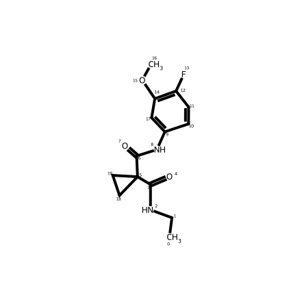 CCNC(=O)C1(C(=O)Nc2ccc(F)c(OC)c2)CC1